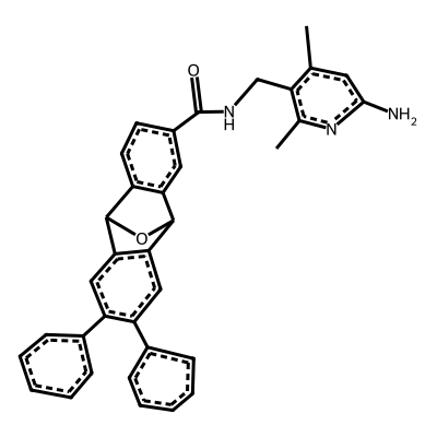 Cc1cc(N)nc(C)c1CNC(=O)c1ccc2c(c1)C1OC2c2cc(-c3ccccc3)c(-c3ccccc3)cc21